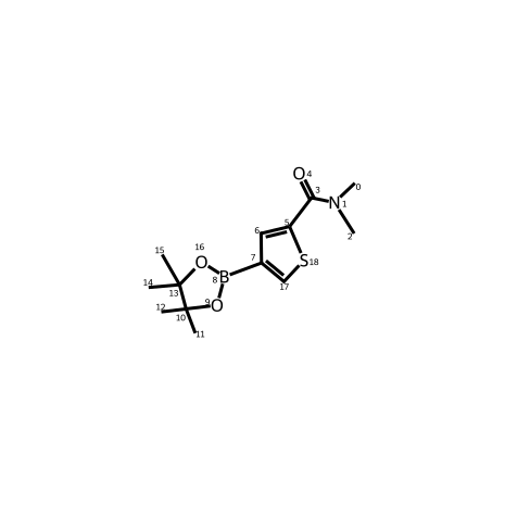 CN(C)C(=O)c1cc(B2OC(C)(C)C(C)(C)O2)cs1